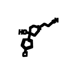 N#CCCN1CCC(O)(c2ccc(Cl)cc2)CC1